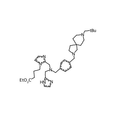 CCOC(=O)CCCn1ccnc1CN(Cc1ccc(CN2CCC3(CCN(CC(C)(C)C)CC3)C2)cc1)Cc1ncc[nH]1